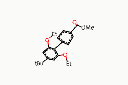 CCOc1cc(C(C)(C)C)cc(OCC)c1-c1ccc(C(=O)OC)cc1